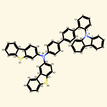 c1ccc(-n2c3ccccc3c3ccccc32)c(-c2ccc(-c3ccc(N(c4ccc5c(c4)sc4ccccc45)c4ccc5sc6ccccc6c5c4)cc3)cc2)c1